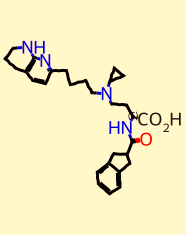 O=C(N[C@@H](CCN(CCCCc1ccc2c(n1)NCCC2)C1CC1)C(=O)O)C1Cc2ccccc2C1